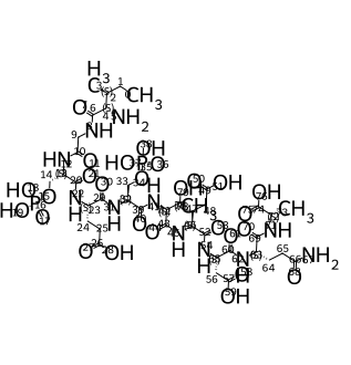 CC[C@H](C)[C@H](N)C(=O)NCC(=O)N[C@@H](COP(=O)(O)O)C(=O)N[C@@H](CCC(=O)O)C(=O)N[C@@H](COP(=O)(O)O)C(=O)N[C@H](C(=O)N[C@@H](CCC(=O)O)C(=O)N[C@@H](CC(=O)O)C(=O)N[C@@H](CCC(N)=O)C(=O)N[C@@H](C)C(=O)O)[C@@H](C)O